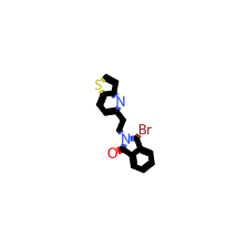 O=C1c2ccccc2C(Br)N1CCc1ccc2sccc2n1